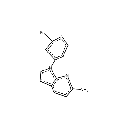 Nc1ccc2ccn(-c3ccnc(Br)c3)c2n1